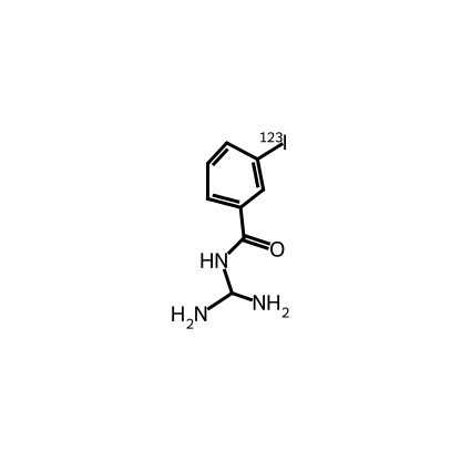 NC(N)NC(=O)c1cccc([123I])c1